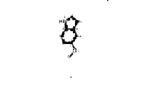 [CH2]Oc1ccc2[nH]ccc2c1